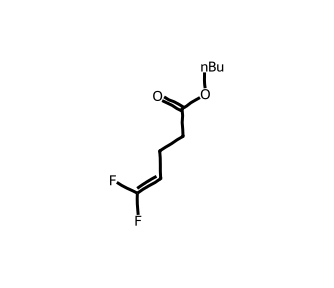 CCCCOC(=O)CCC=C(F)F